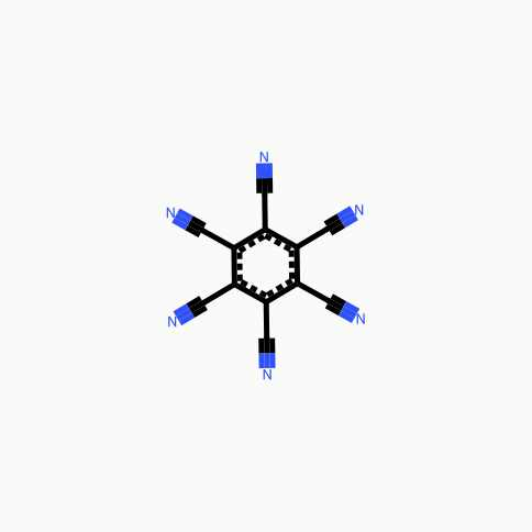 N#Cc1c(C#N)c(C#N)c(C#N)c(C#N)c1C#N